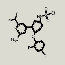 CCS(=O)(=O)Nc1ccc(Oc2ccc(F)cc2F)c(-c2cc(C)nc(C(F)F)c2)c1